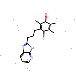 CC1=C(C)C(=O)C(CCCc2nc3cccnc3[nH]2)=C(C)C1=O